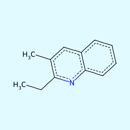 CCc1nc2ccccc2cc1C